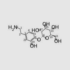 NCCc1ccc(O[C@H]2O[C@H](CO)[C@@H](O)[C@H](O)[C@H]2O)c(O)c1